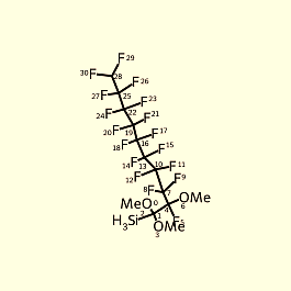 COC([SiH3])(OC)C(F)(OC)C(F)(F)C(F)(F)C(F)(F)C(F)(F)C(F)(F)C(F)(F)C(F)(F)C(F)F